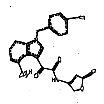 O=C1C=C(NC(=O)C(=O)c2cn(Cc3ccc(Cl)cc3)c3cccc(C(=O)O)c23)CO1